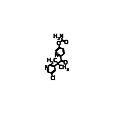 CC(C)(C(=O)c1ccc(OC(N)=O)cn1)c1cncc(Cl)c1